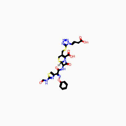 O=CNc1nc(C(=NOc2ccccc2)C(=O)NC2C(=O)N3C(C(=O)O)=C(CSc4nnnn4C=CCC(=O)O)CS[C@@H]23)cs1